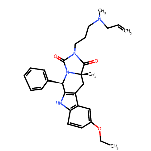 C=CCN(C)CCCN1C(=O)N2[C@H](c3ccccc3)c3[nH]c4ccc(OCC)cc4c3C[C@@]2(C)C1=O